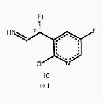 CC[C@@H](C=N)c1cc(F)cnc1Cl.Cl.Cl